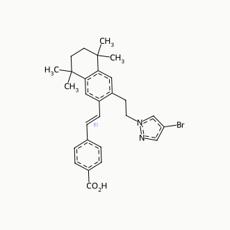 CC1(C)CCC(C)(C)c2cc(CCn3cc(Br)cn3)c(/C=C/c3ccc(C(=O)O)cc3)cc21